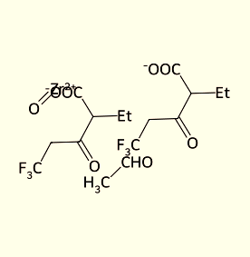 CC=O.CCC(C(=O)[O-])C(=O)CC(F)(F)F.CCC(C(=O)[O-])C(=O)CC(F)(F)F.[O]=[Zr+2]